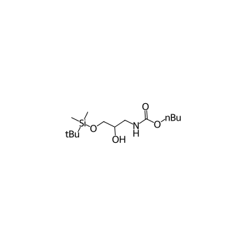 CCCCOC(=O)NCC(O)CO[Si](C)(C)C(C)(C)C